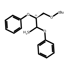 CC(C)(C)OC[C@H](Oc1ccccc1)C([SiH3])Oc1ccccc1